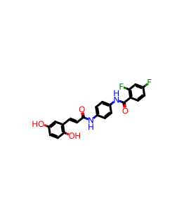 O=C(C=Cc1cc(O)ccc1O)Nc1ccc(NC(=O)c2ccc(F)cc2F)cc1